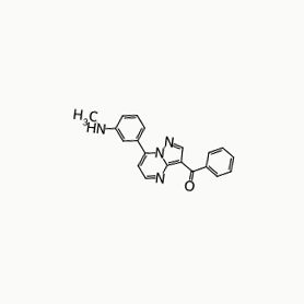 CNc1cccc(-c2ccnc3c(C(=O)c4ccccc4)cnn23)c1